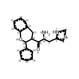 N[C@@H](Cc1cnc[nH]1)C(=O)C1Cc2ccccc2OC1c1ccccc1